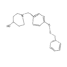 OC1CCN(Cc2ccc(OOCc3ccccc3)cc2)CC1